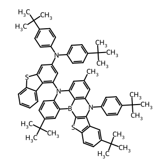 Cc1cc2c3c(c1)N(c1cc(N(c4ccc(C(C)(C)C)cc4)c4ccc(C(C)(C)C)cc4)cc4sc5ccccc5c14)c1ccc(C(C)(C)C)cc1B3c1sc3ccc(C(C)(C)C)cc3c1N2c1ccc(C(C)(C)C)cc1